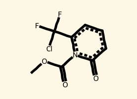 COC(=O)n1c(C(F)(F)Cl)cccc1=O